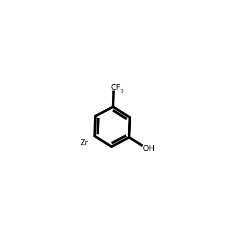 Oc1cccc(C(F)(F)F)c1.[Zr]